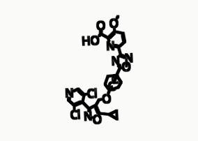 COc1ccc(-c2noc(C34CCC(OCc5c(-c6c(Cl)cncc6Cl)noc5C5CC5)(CC3)CC4)n2)nc1C(=O)O